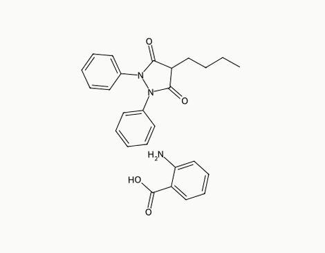 CCCCC1C(=O)N(c2ccccc2)N(c2ccccc2)C1=O.Nc1ccccc1C(=O)O